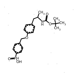 CC(Cc1ccc(OCc2ccc([PH](=O)O)cc2)cc1)NC(=O)OC(C)(C)C